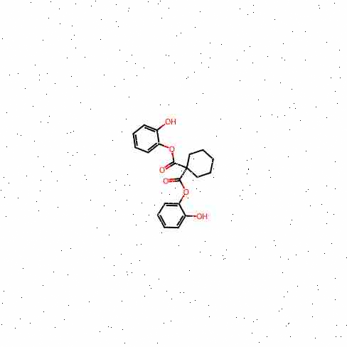 O=C(Oc1ccccc1O)C1(C(=O)Oc2ccccc2O)CCCCC1